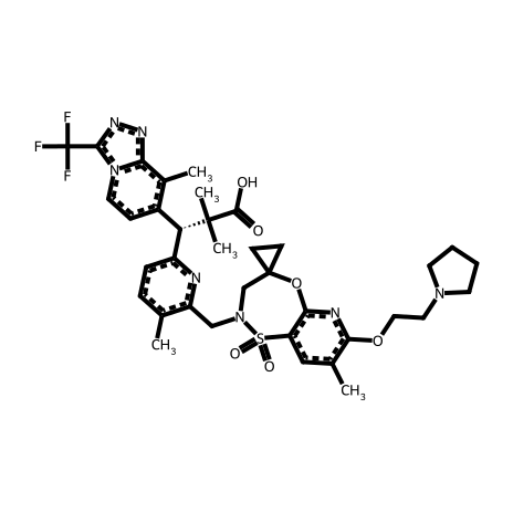 Cc1ccc([C@H](c2ccn3c(C(F)(F)F)nnc3c2C)C(C)(C)C(=O)O)nc1CN1CC2(CC2)Oc2nc(OCCN3CCCC3)c(C)cc2S1(=O)=O